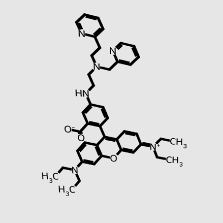 CCN(CC)c1ccc2c(-c3ccc(NCCN(CCc4ccccn4)Cc4ccccn4)cc3C(=O)[O-])c3ccc(=[N+](CC)CC)cc-3oc2c1